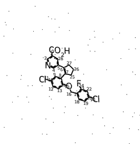 O=C(O)c1cncc(C2=C(c3cc(Cl)ccc3OCc3ccc(Cl)cc3F)CCC2)c1